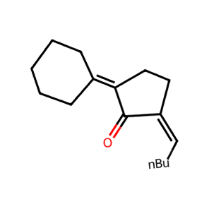 CCCC/C=C1/CCC(=C2CCCCC2)C1=O